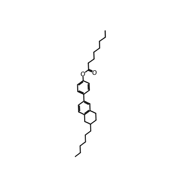 CCCCCCCC(=O)Oc1ccc(-c2ccc3c(c2)CCC(CCCCCC)C3)cc1